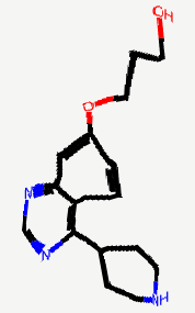 OCCCOc1ccc2c(C3CCNCC3)ncnc2c1